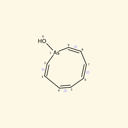 O[As]1\C=C/C=C\C=C/C=C\1